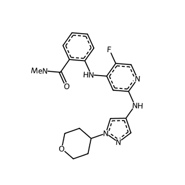 CNC(=O)c1ccccc1Nc1cc(Nc2cnn(C3CCOCC3)c2)ncc1F